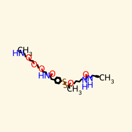 CC#CCNC(=O)NCCCCOC(C)SSc1ccc(CC(=O)NCCOCCOCCOCCNC)cc1